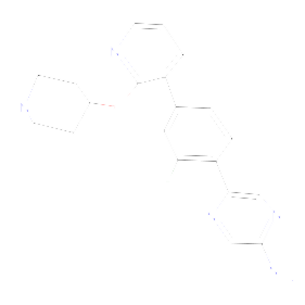 Nc1cnc(-c2ccc(-c3cccnc3OC3CCNCC3)cc2F)cn1